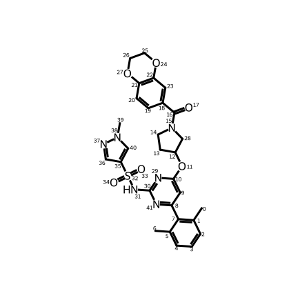 Cc1cccc(C)c1-c1cc(OC2CCN(C(=O)c3ccc4c(c3)OCCO4)C2)nc(NS(=O)(=O)c2cnn(C)c2)n1